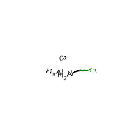 [AlH2][Cl].[AlH3].[Co]